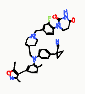 Cc1ccc(-c2c(C)noc2C)cc1N(CC1CCN(Cc2ccc(N3CCC(=O)NC3=O)c(F)c2)CC1)c1ccc(C2(C#N)CC2)cc1